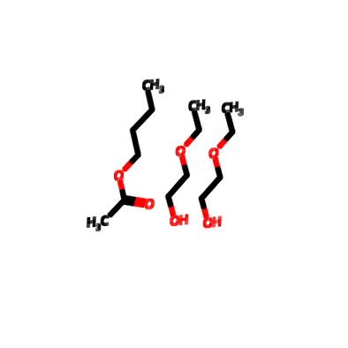 CCCCOC(C)=O.CCOCCO.CCOCCO